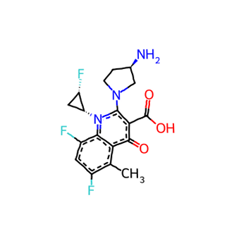 Cc1c(F)cc(F)c2c1c(=O)c(C(=O)O)c(N1CC[C@@H](N)C1)n2[C@@H]1C[C@@H]1F